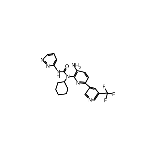 Nc1ccc(-c2cncc(C(F)(F)F)c2)nc1N(C(=O)Nc1cccnn1)C1CCCCC1